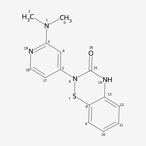 CN(C)c1cc(N2Sc3ccccc3NC2=O)ccn1